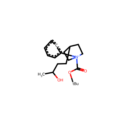 CC(O)CCC1(c2ccccc2)C2CC[N+]1(C(=O)OC(C)(C)C)CC2